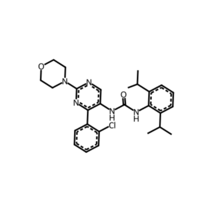 CC(C)c1cccc(C(C)C)c1NC(=O)Nc1cnc(N2CCOCC2)nc1-c1ccccc1Cl